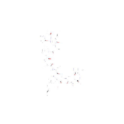 C/C=C/C[C@@H](C)[C@H](O)C(C(=O)N[C@@H](CC)C(=O)N(C)CC(=O)N(C)[C@H](C(N)=O)C(C)CC)N(C)C(=O)[C@H](C(C)C)N(C)C(=O)[C@@H](CC(C)C)N(C)C(=O)[C@H](CC(C)C)N(C)C(=O)[C@H](C)NC(=O)[C@H](CC(C)C)NC(=O)[C@H](CC(C)C)N(C)C(=O)[C@H](C)C(C)C